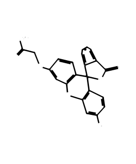 COC(=O)COc1ccc2c(c1)Oc1cc(O)ccc1C21OC(=O)c2ccccc21